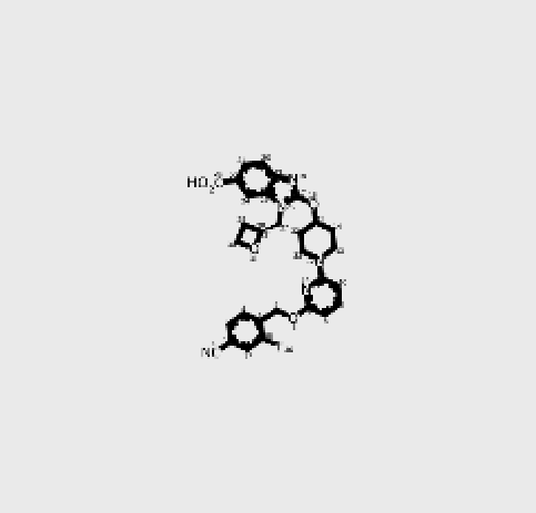 N#Cc1ccc(COc2cccc(N3CCC(Oc4nc5ccc(C(=O)O)cc5n4C[C@@H]4CCO4)CC3)n2)c(F)c1